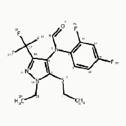 CCSc1c(N(C=O)c2ccc(F)cc2F)c(C(F)(F)F)nn1CC